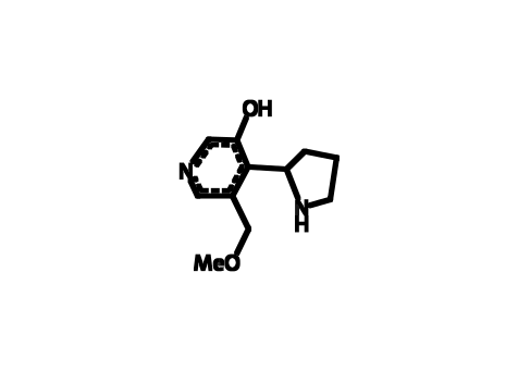 COCc1cncc(O)c1C1CCCN1